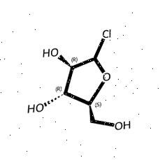 OC[C@@H]1OC(Cl)[C@H](O)[C@H]1O